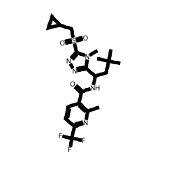 Cc1nc(C(F)(F)F)ccc1C(=O)NC(CC(C)(C)C)c1nnc(S(=O)(=O)CC2CC2)n1C